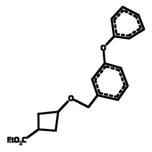 CCOC(=O)C1CC(OCc2cccc(Oc3ccccc3)c2)C1